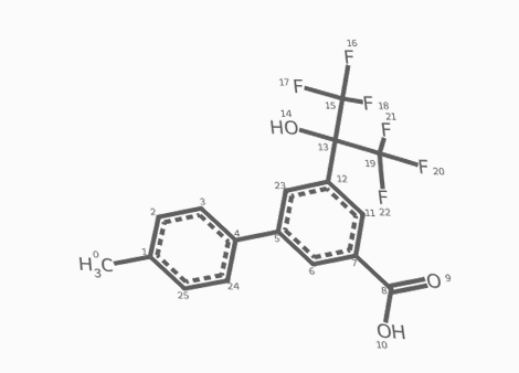 Cc1ccc(-c2cc(C(=O)O)cc(C(O)(C(F)(F)F)C(F)(F)F)c2)cc1